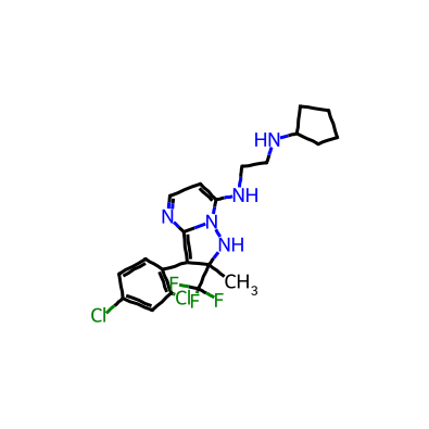 CC1(C(F)(F)F)NN2C(NCCNC3CCCC3)=CC=NC2=C1c1ccc(Cl)cc1Cl